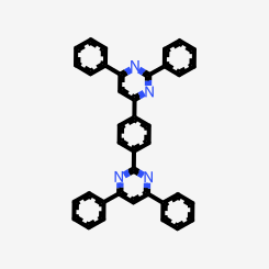 c1ccc(-c2cc(-c3ccc(-c4nc(-c5ccccc5)cc(-c5ccccc5)n4)cc3)nc(-c3ccccc3)n2)cc1